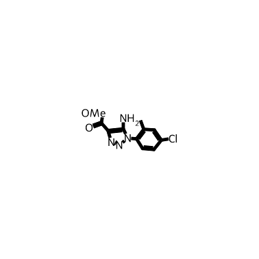 COC(=O)c1nnn(-c2ccc(Cl)cc2C)c1N